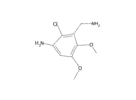 COc1cc(N)c(Cl)c(CN)c1OC